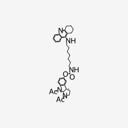 CC(=O)N1CC[C]2c3cc(OC(=O)NCCCCCCCNc4c5c(nc6ccccc46)CCCC5)ccc3N(C(C)=O)C21